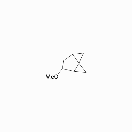 COC1CC2CC23CC13